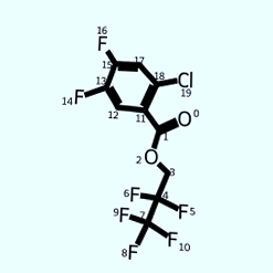 O=C(OCC(F)(F)C(F)(F)F)c1cc(F)c(F)cc1Cl